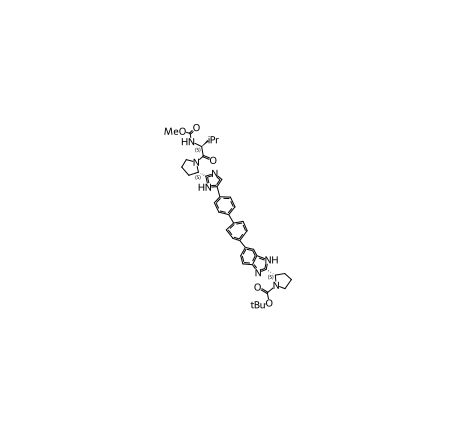 COC(=O)N[C@H](C(=O)N1CCC[C@H]1c1ncc(-c2ccc(-c3ccc(-c4ccc5nc([C@@H]6CCCN6C(=O)OC(C)(C)C)[nH]c5c4)cc3)cc2)[nH]1)C(C)C